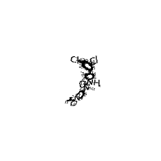 CC(C)C(=O)N1CCC(N(C)C(=O)N[C@H]2CC[C@H](c3cc(Cl)cc(Cl)c3)CC2)CC1